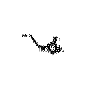 COCCOCCOCCOCC1CN(c2nccc(COc3ccc4cc3C[C@H](C(=O)O)Oc3ncnc5sc(-c6ccc(F)cc6)c(c35)-c3c(C)c(Cl)c(c(Cl)c3C)O[C@H](CN3CCN(C)CC3)CO4)n2)C1